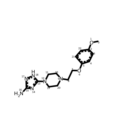 COc1ccc(OCCN2CCN(c3nc(N)n[nH]3)CC2)cc1